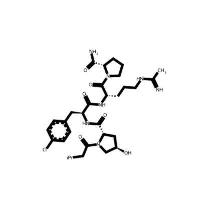 CC(=N)NCCC[C@H](NC(=O)[C@H](Cc1ccc(Cl)cc1)NC(=O)[C@@H]1C[C@@H](O)CN1C(=O)CC(C)C)C(=O)N1CCC[C@H]1C(N)=O